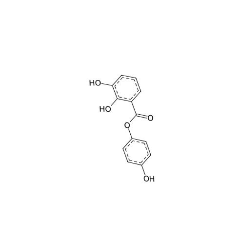 O=C(Oc1ccc(O)cc1)c1cccc(O)c1O